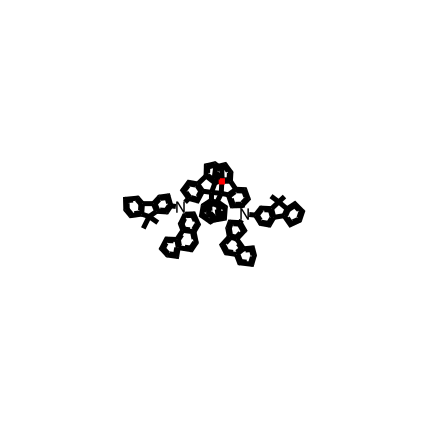 CC1(C)c2ccccc2-c2ccc(N(c3ccc4c(c3)C(c3ccccc3)(C3(c5ccccc5)c5ccccc5-c5ccc(N(c6ccc7c(c6)C(C)(C)c6ccccc6-7)c6ccc7ccc8ccccc8c7c6)cc53)c3ccccc3-4)c3ccc4ccc5ccccc5c4c3)cc21